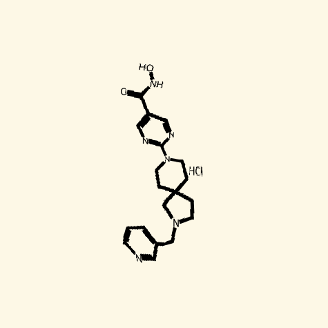 Cl.O=C(NO)c1cnc(N2CCC3(CCN(Cc4cccnc4)C3)CC2)nc1